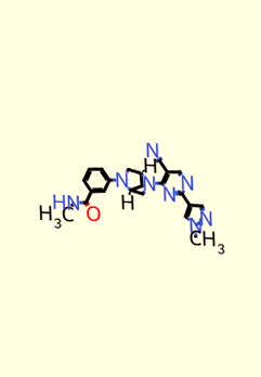 CNC(=O)c1cccc(N2C[C@@H]3C[C@@H]2CN3c2nc(-c3cnn(C)c3)ncc2C#N)c1